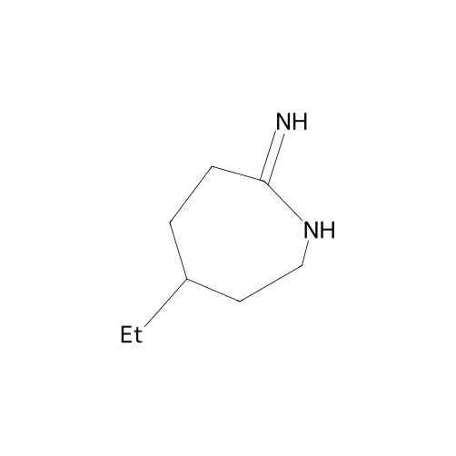 CCC1CCNC(=N)CC1